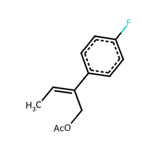 C/C=C(\COC(C)=O)c1ccc(F)cc1